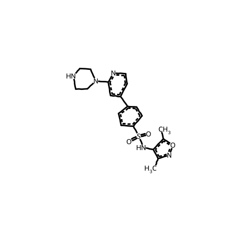 Cc1noc(C)c1NS(=O)(=O)c1ccc(-c2ccnc(N3CCNCC3)c2)cc1